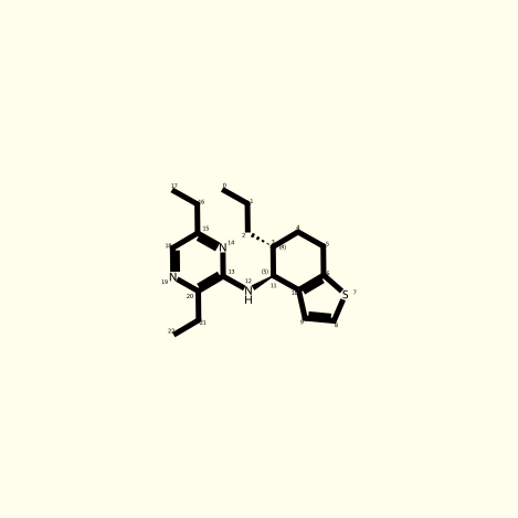 CCC[C@@H]1CCc2sccc2[C@H]1Nc1nc(CC)cnc1CC